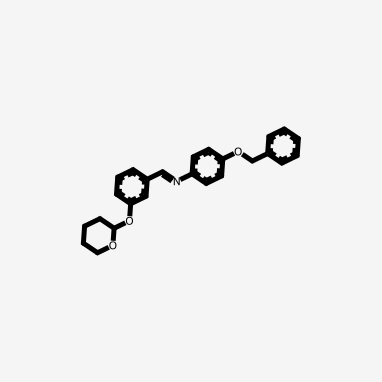 C(=Nc1ccc(OCc2ccccc2)cc1)c1cccc(OC2CCCCO2)c1